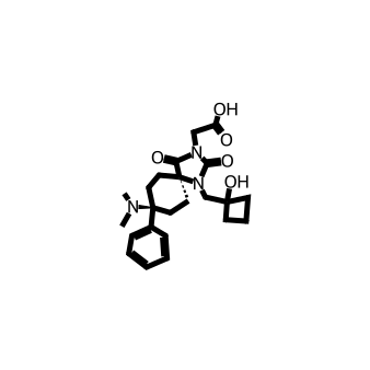 CN(C)[C@]1(c2ccccc2)CC[C@]2(CC1)C(=O)N(CC(=O)O)C(=O)N2CC1(O)CCC1